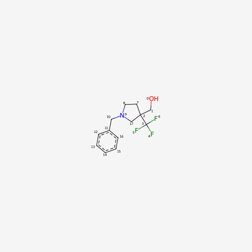 OCC1(C(F)(F)F)CCN(Cc2ccccc2)C1